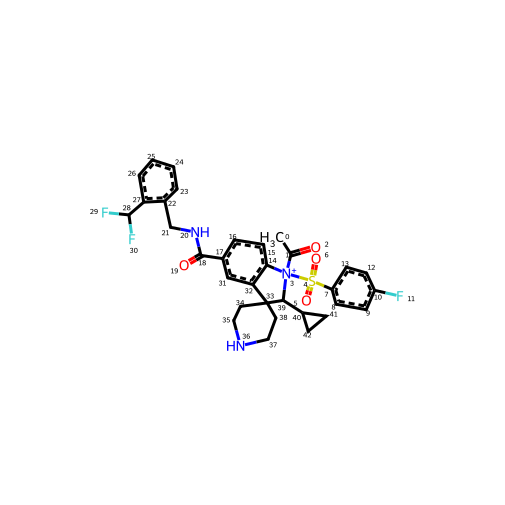 CC(=O)[N+]1(S(=O)(=O)c2ccc(F)cc2)c2ccc(C(=O)NCc3ccccc3C(F)F)cc2C2(CCNCC2)C1C1CC1